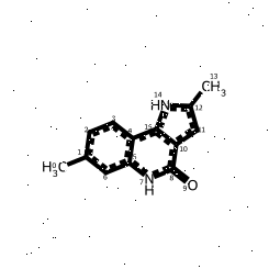 Cc1ccc2c(c1)[nH]c(=O)c1cc(C)[nH]c12